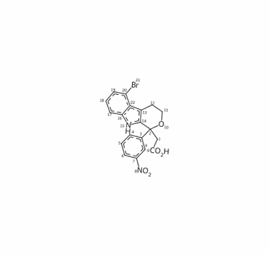 O=C(O)CC1(c2cccc([N+](=O)[O-])c2)OCCc2c1[nH]c1cccc(Br)c21